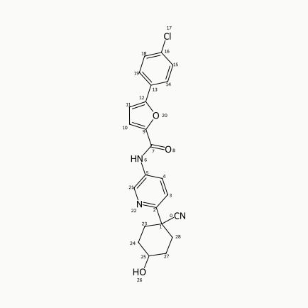 N#CC1(c2ccc(NC(=O)c3ccc(-c4ccc(Cl)cc4)o3)cn2)CCC(O)CC1